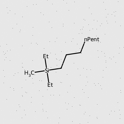 CCCCCCCC[Si](C)(CC)CC